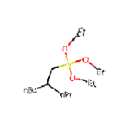 CCCCC(CCC)CS(OCC)(OCC)OCC